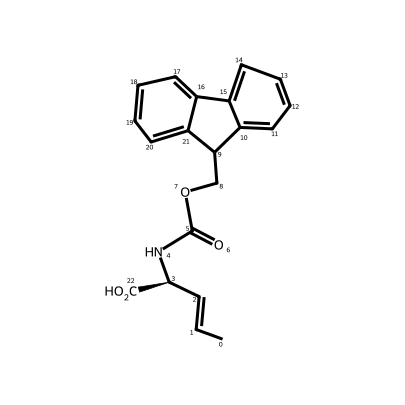 C/C=C/[C@H](NC(=O)OCC1c2ccccc2-c2ccccc21)C(=O)O